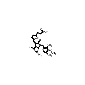 COc1c(C)cnc(CN2C(=O)/C(=C\c3ccc(CCC(=O)O)[nH]3)c3c(Cl)nc(N)nc32)c1C